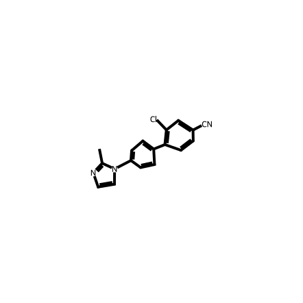 Cc1nccn1-c1ccc(-c2ccc(C#N)cc2Cl)cc1